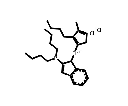 CCCCC1=[C]([Ti+2][CH]2C(P(CCCC)CCCC)=Cc3ccccc32)CC=C1C.[Cl-].[Cl-]